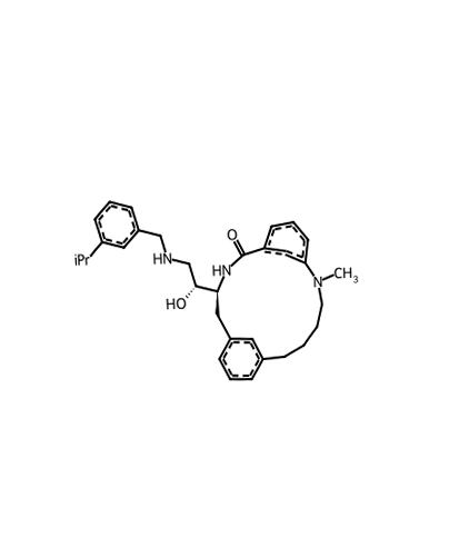 CC(C)c1cccc(CNC[C@@H](O)[C@@H]2Cc3cccc(c3)CCCCN(C)c3cccc(c3)C(=O)N2)c1